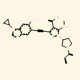 C=CC(=O)N1CC[C@H](n2nc(C#Cc3cc4ncn(C5CC5)c4cc3Cl)c(C(N)=O)c2NC)C1